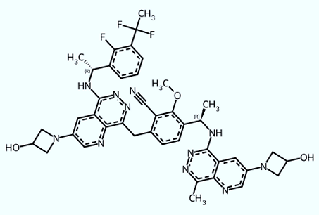 COc1c([C@@H](C)Nc2nnc(C)c3ncc(N4CC(O)C4)cc23)ccc(Cc2nnc(N[C@H](C)c3cccc(C(C)(F)F)c3F)c3cc(N4CC(O)C4)cnc23)c1C#N